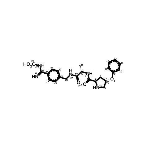 C[C@H](NC(=O)C1C[C@H](Oc2ccccc2)CN1)C(=O)NCc1ccc(C(=N)NC(=O)O)cc1